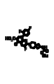 CC(C)(C)OC(=O)NC1CC2(CCN(c3nc4c(cc3F)c(=O)c(C(=O)O)cn4-c3ccc(F)cc3F)CC2)C1